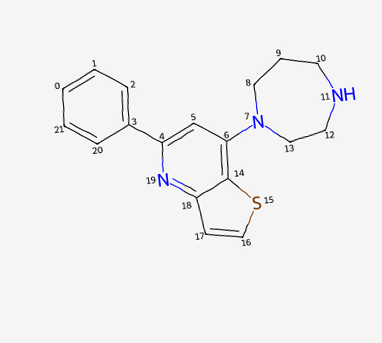 c1ccc(-c2cc(N3CCCNCC3)c3sccc3n2)cc1